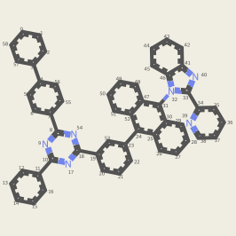 c1ccc(-c2ccc(-c3nc(-c4ccccc4)nc(-c4cccc(-c5c6ccccc6c(-n6c(-c7ccccn7)nc7ccccc76)c6ccccc56)c4)n3)cc2)cc1